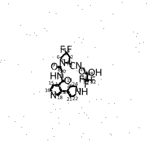 N#C[C@@H]1CC(F)(F)CN1C(=O)CNC(=O)c1ccncc1C1=CCNCC1.O=C(O)C(F)(F)F